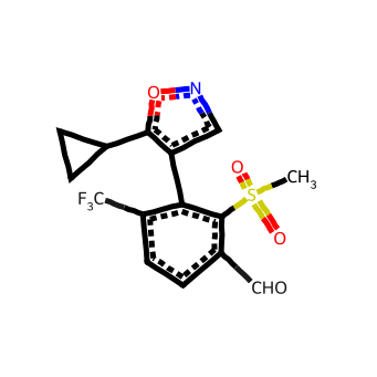 CS(=O)(=O)c1c(C=O)ccc(C(F)(F)F)c1-c1cnoc1C1CC1